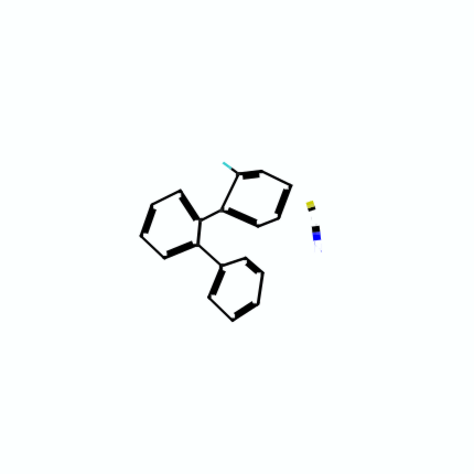 Fc1ccccc1-c1ccccc1-c1ccccc1.N=C=S